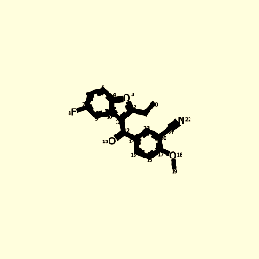 CCc1oc2ccc(F)cc2c1C(=O)c1ccc(OC)c(C#N)c1